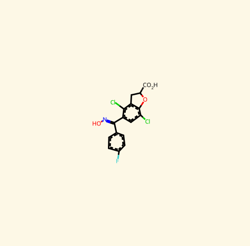 O=C(O)C1Cc2c(Cl)c(C(=NO)c3ccc(F)cc3)cc(Cl)c2O1